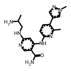 Cc1nc(Nc2cc(NCC(C)N)ncc2C(N)=O)ccc1-c1cnn(C)c1